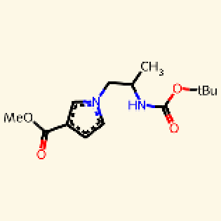 COC(=O)c1ccn(CC(C)NC(=O)OC(C)(C)C)c1